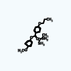 CCCOc1ccc(C(=O)Oc2ccc(OC)cc2)cc1.C[SiH2]O[SiH3]